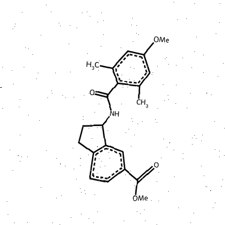 COC(=O)c1ccc2c(c1)C(NC(=O)c1c(C)cc(OC)cc1C)CC2